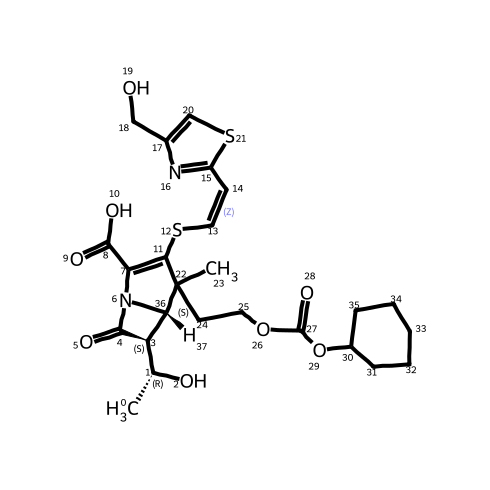 C[C@@H](O)[C@H]1C(=O)N2C(C(=O)O)=C(S/C=C\c3nc(CO)cs3)C(C)(CCOC(=O)OC3CCCCC3)[C@H]12